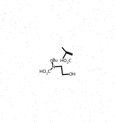 C=C(C)C(=O)O.CCCCN(CCO)C(=O)O